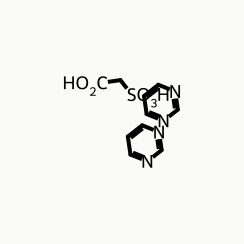 O=C(O)CS(=O)(=O)O.c1cncnc1.c1cncnc1